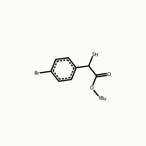 CC(C)(C)OC(=O)C(S)c1ccc(Br)cc1